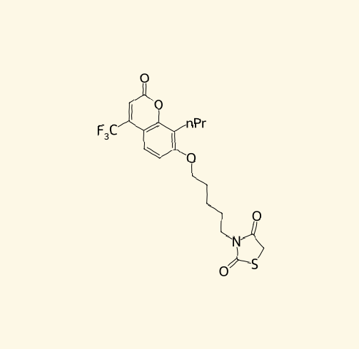 CCCc1c(OCCCCCN2C(=O)CSC2=O)ccc2c(C(F)(F)F)cc(=O)oc12